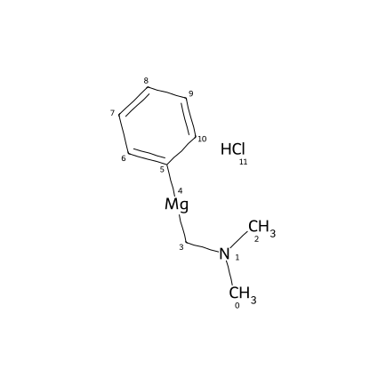 CN(C)[CH2][Mg][c]1ccccc1.Cl